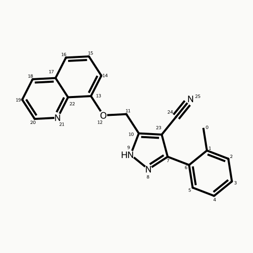 Cc1ccccc1-c1n[nH]c(COc2cccc3cccnc23)c1C#N